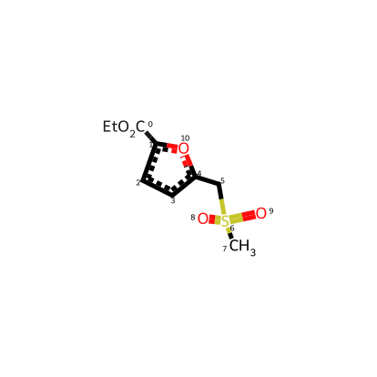 CCOC(=O)c1ccc(CS(C)(=O)=O)o1